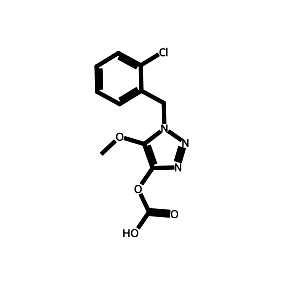 COc1c(OC(=O)O)nnn1Cc1ccccc1Cl